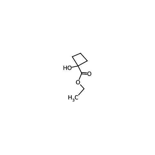 CCOC(=O)C1(O)CCC1